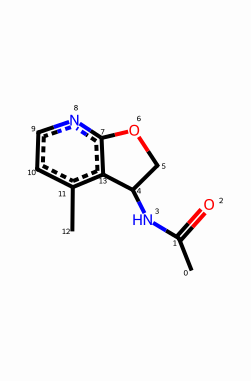 CC(=O)NC1COc2nccc(C)c21